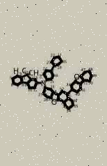 CC1(C)c2ccccc2-c2ccc(N(c3ccc(-c4ccccc4)cc3)c3ccc4oc5c6ccccc6c(-c6ccc7c(c6)oc6ccccc67)cc5c4c3)cc21